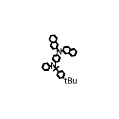 CC(C)(C)c1ccc(C(C)(C)N(c2ccccc2)c2ccc(N(c3ccc4c(c3)C=CCC4)c3ccc4ccccc4c3)cc2)cc1